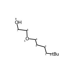 CC(C)(C)CCCCOCCO